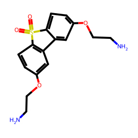 NCCOc1ccc2c(c1)-c1cc(OCCN)ccc1S2(=O)=O